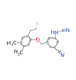 Cc1cc(CCF)c(OCc2cc(C#N)cc(NC#N)c2)cc1C